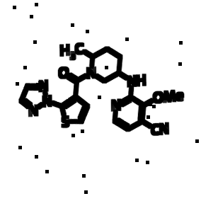 COc1c(C#N)ccnc1NC1CCC(C)N(C(=O)c2ccsc2-n2nccn2)C1